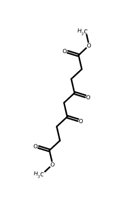 COC(=O)CCC(=O)CC(=O)CCC(=O)OC